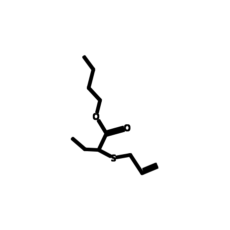 C=CCSC(CC)C(=O)OCCCC